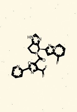 O=C(c1oc(-c2ccccn2)nc1C(F)F)N1CCc2[nH]cnc2[C@H]1c1cc2c(F)cccn2n1